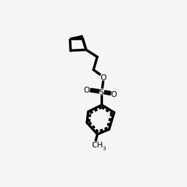 Cc1ccc(S(=O)(=O)OCCC23CC(C2)C3)cc1